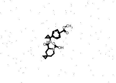 COC(=O)c1ccc(C2(NC(=O)C3CC4(CCN3C(=O)O)CC4)CC2)cc1